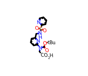 CC(C)(C)OC(=O)N(CC(=O)O)c1cccc(CNS(=O)(=O)c2ccccn2)n1